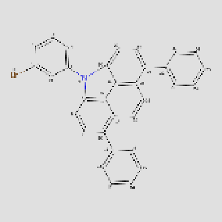 Brc1cccc(-n2c3ccc(-c4ccccc4)c4ccc5c(-c6ccccc6)ccc2c5c43)c1